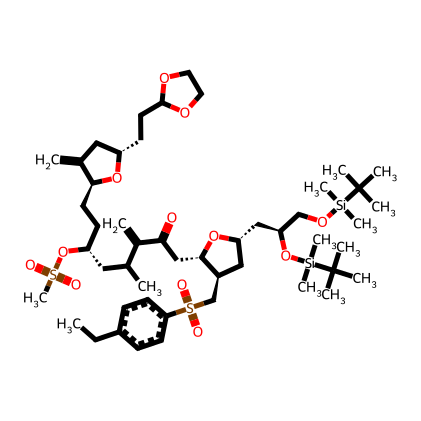 C=C(C(=O)C[C@@H]1O[C@H](C[C@@H](CO[Si](C)(C)C(C)(C)C)O[Si](C)(C)C(C)(C)C)C[C@H]1CS(=O)(=O)c1ccc(CC)cc1)C(C)C[C@@H](CC[C@@H]1O[C@@H](CCC2OCCO2)CC1=C)OS(C)(=O)=O